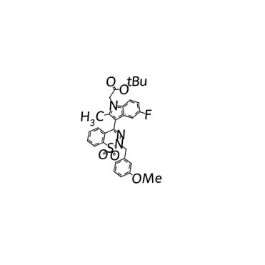 COc1cccc(CN2N=C(c3c(C)n(CC(=O)OC(C)(C)C)c4ccc(F)cc34)c3ccccc3S2(=O)=O)c1